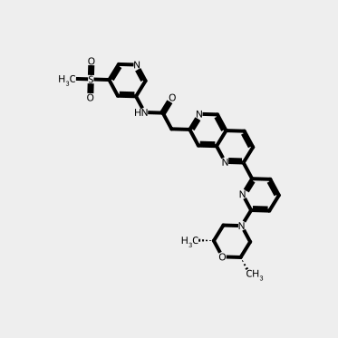 C[C@@H]1CN(c2cccc(-c3ccc4cnc(CC(=O)Nc5cncc(S(C)(=O)=O)c5)cc4n3)n2)C[C@H](C)O1